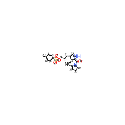 Cc1ccc(S(=O)(=O)OCCC[C@@H]2CN[C@@H](C(=O)N3CCC[C@H]3C#N)C2)cc1